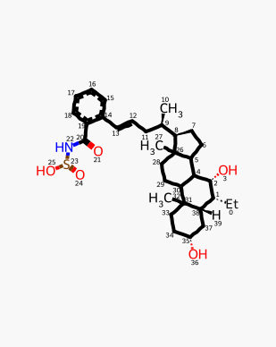 CC[C@H]1[C@@H](O)C2C3CC[C@H]([C@H](C)C/C=C/c4ccccc4C(=O)NS(=O)O)C3(C)CCC2C2(C)CC[C@@H](O)C[C@@H]12